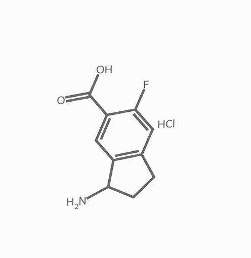 Cl.NC1CCc2cc(F)c(C(=O)O)cc21